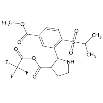 COC(=O)c1ccc(S(=O)(=O)C(C)C)c(C2NCCC2C(=O)OC(=O)C(F)(F)F)c1